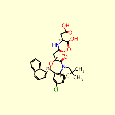 CC(C)(C)CN1C(=O)[C@H](CC(=O)N[C@@H](CC(=O)O)C(=O)O)O[C@@H](c2cccc3ccccc23)c2cc(Cl)ccc21